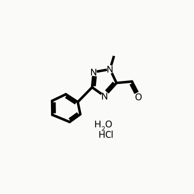 Cl.Cn1nc(-c2ccccc2)nc1C=O.O